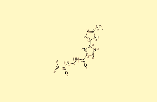 C=C(C)C(=O)NCNC(=O)c1nnn(-c2ccc([N+](=O)[O-])[nH]2)n1